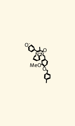 COc1cc(Cn2c(=O)c(C)c(-c3ccc([O-])cc3)[n+]3ccccc23)ccc1OCc1ccc(C)cc1